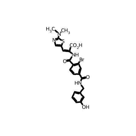 CN(C)c1ncc(C=C(NC(=O)c2ccc(C(=O)NCc3cccc(O)c3)cc2Br)C(=O)O)s1